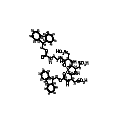 O=C(NCCNC(=O)C(CS(=O)(=O)O)NC(=O)C(CS(=O)(=O)O)NC(=O)C(CS(=O)(=O)O)NC(=O)OCC1c2ccccc2-c2ccccc21)OCC1c2ccccc2-c2ccccc21